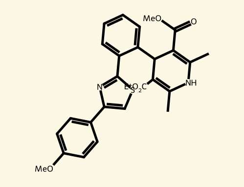 CCOC(=O)C1=C(C)NC(C)=C(C(=O)OC)C1c1ccccc1-c1nc(-c2ccc(OC)cc2)cs1